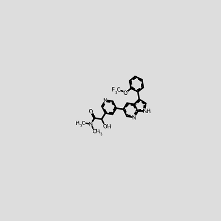 CN(C)C(=O)C(O)c1cncc(-c2cnc3[nH]cc(-c4ccccc4OC(F)(F)F)c3c2)c1